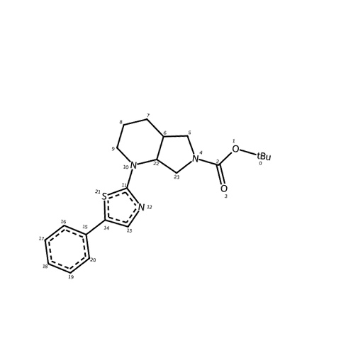 CC(C)(C)OC(=O)N1CC2CCCN(c3ncc(-c4ccccc4)s3)C2C1